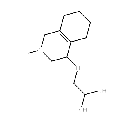 BN1CC2=C(CCCC2)C(NCC(C)C)C1